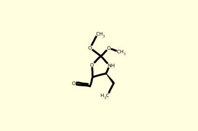 CC[C@@H]1NC(OC)(OC)OC1C=O